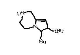 CC(C)(C)C1C=C2CNCCN2C1C(C)(C)C